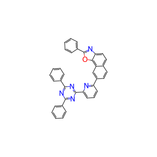 c1ccc(-c2nc(-c3ccccc3)nc(-c3cccc(-c4ccc5ccc6nc(-c7ccccc7)oc6c5c4)n3)n2)cc1